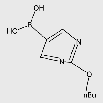 CCCCOc1ncc(B(O)O)cn1